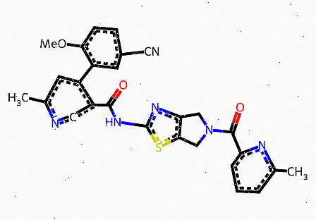 COc1ccc(C#N)cc1-c1cc(C)ncc1C(=O)Nc1nc2c(s1)CN(C(=O)c1cccc(C)n1)C2